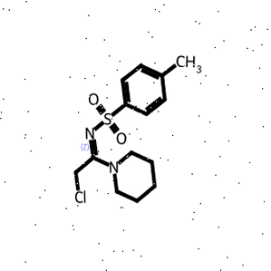 Cc1ccc(S(=O)(=O)/N=C(/CCl)N2CCCCC2)cc1